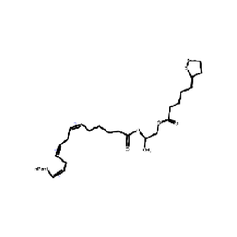 CCCCC/C=C\C/C=C\C/C=C\CCCCC(=O)OC(C)COC(=O)CCCCC1CCSS1